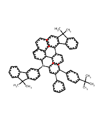 CC(C)(C)c1ccc(-c2ccc(N(c3ccc4c(c3)-c3ccccc3C4(C)C)c3ccc4ccccc4c3-c3ccccc3-c3cccc4c3-c3ccccc3C4(C)C)cc2-c2ccccc2)cc1